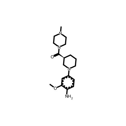 COc1cc(N2CCC[C@H](C(=O)N3CCN(C)CC3)C2)ccc1N